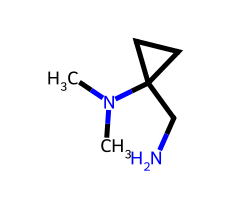 CN(C)C1(CN)CC1